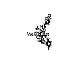 COCn1c(N(C2CC2)S(=O)(=O)CCc2ccc(P(C)(C)=O)s2)nc(C(=O)NCc2ccc(F)cc2)c(O[Si](C)(C)C(C)(C)C)c1=O